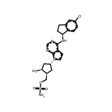 NS(=O)(=O)OC[C@@H]1C[C@@H](n2ccc3c(N[C@H]4CCc5cc(Cl)ccc54)ncnc32)C[C@@H]1O